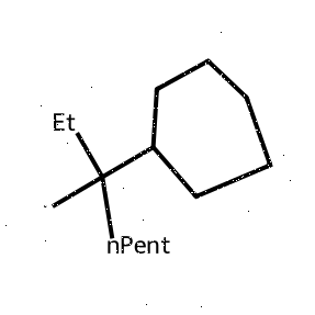 [CH2]C(CC)(CCCCC)C1CCCCC1